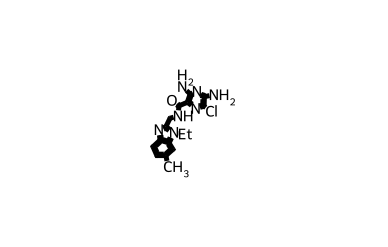 CCn1c(CNC(=O)c2nc(Cl)c(N)nc2N)nc2ccc(C)cc21